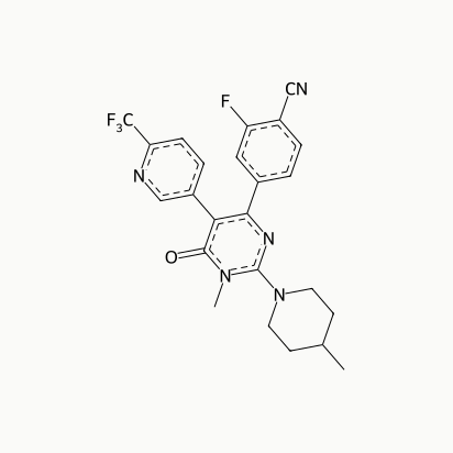 CC1CCN(c2nc(-c3ccc(C#N)c(F)c3)c(-c3ccc(C(F)(F)F)nc3)c(=O)n2C)CC1